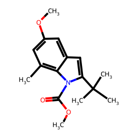 COC(=O)n1c(C(C)(C)C)cc2cc(OC)cc(C)c21